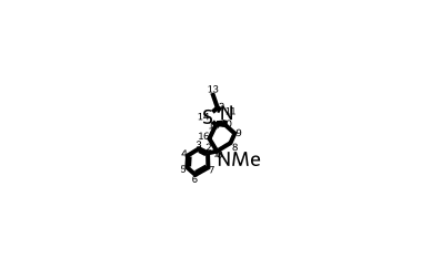 CNC1(c2ccccc2)CCc2nc(C)sc2C1